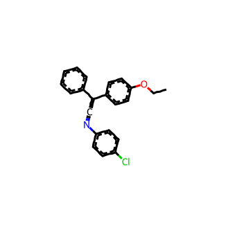 CCOc1ccc(C(=C=Nc2ccc(Cl)cc2)c2ccccc2)cc1